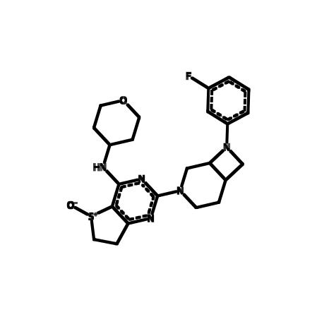 [O-][S+]1CCc2nc(N3CCC4CN(c5cccc(F)c5)C4C3)nc(NC3CCOCC3)c21